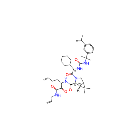 C=CCCC(NC(=O)[C@@H]1[C@@H]2C(CN1C(=O)[C@@H](NC(=O)NC(C)(C)c1cccc(C(=C)C)c1)C1CCCCC1)C2(C)C)C(=O)C(=O)NCC=C